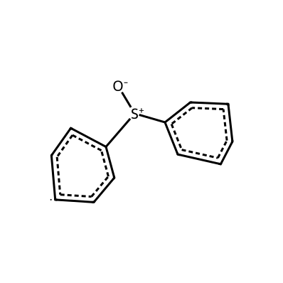 [O-][S+](c1cc[c]cc1)c1ccccc1